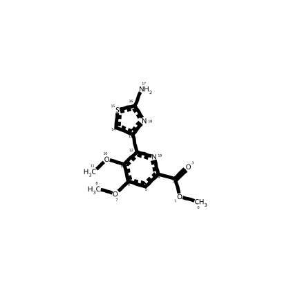 COC(=O)c1cc(OC)c(OC)c(-c2csc(N)n2)n1